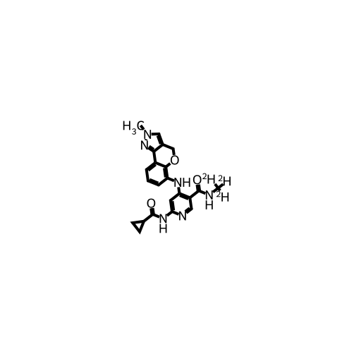 [2H]C([2H])([2H])NC(=O)c1cnc(NC(=O)C2CC2)cc1Nc1cccc2c1OCc1cn(C)nc1-2